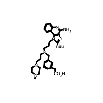 CCCCc1nc2c(N)nc3ccccc3c2n1CCCN(CCCN1CCN(C)CC1)Cc1cccc(CC(=O)O)c1